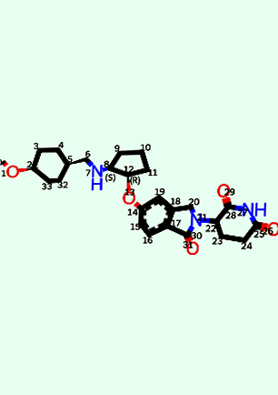 CO[C@H]1CC[C@@H](CN[C@H]2CCC[C@H]2Oc2ccc3c(c2)CN(C2CCC(=O)NC2=O)C3=O)CC1